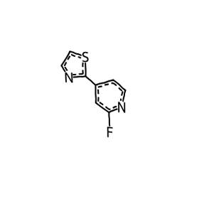 Fc1cc(-c2nccs2)ccn1